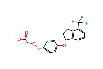 O=C(O)COSc1ccc(O[C@@H]2CCc3c2cccc3C(F)(F)F)cc1